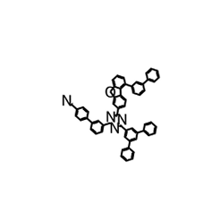 N#Cc1ccc(-c2cccc(-c3nc(-c4cc(-c5ccccc5)cc(-c5ccccc5)c4)nc(-c4ccc5c(c4)oc4cccc(-c6cccc(-c7ccccc7)c6)c45)n3)c2)cc1